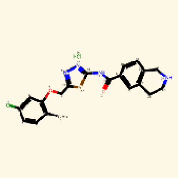 CC(C)COc1ccc(Cl)cc1OCc1nnc(NC(=O)c2ccc3c(c2)CCNC3)s1.Cl